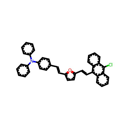 Clc1c2ccccc2c(C=Cc2ccc(C=Cc3ccc(N(c4ccccc4)c4ccccc4)cc3)o2)c2ccccc12